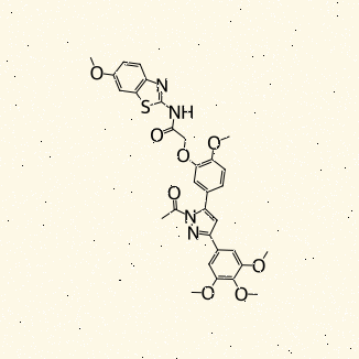 COc1ccc2nc(NC(=O)COc3cc(-c4cc(-c5cc(OC)c(OC)c(OC)c5)nn4C(C)=O)ccc3OC)sc2c1